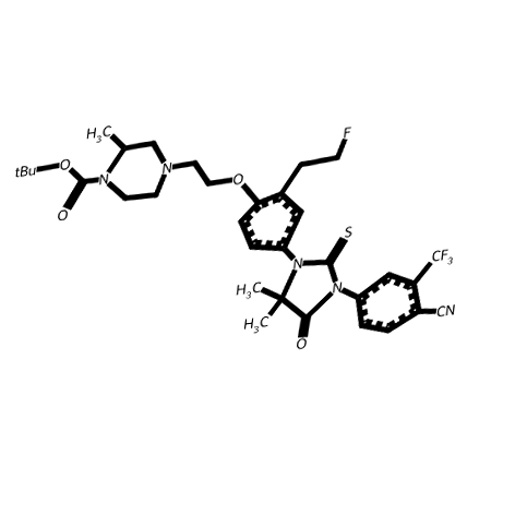 CC1CN(CCOc2ccc(N3C(=S)N(c4ccc(C#N)c(C(F)(F)F)c4)C(=O)C3(C)C)cc2CCF)CCN1C(=O)OC(C)(C)C